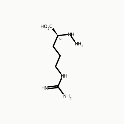 N=C(N)NCCC[C@H](NN)C(=O)O